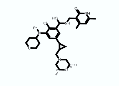 CCN(c1cc(C2CC2CN2C[C@@H](C)O[C@@H](C)C2)cc(C(O)NCc2c(C)cc(C)[nH]c2=O)c1Cl)C1CCOCC1